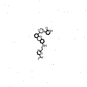 O=c1[nH]cccc1N1CCOC(c2cccc3c2Oc2ccc(NCCc4nccc(C(F)F)n4)cc2C3)C1